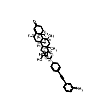 C[C@]12CCC(=O)C=C1[C@@H](F)C[C@H]1[C@@H]3C[C@H]4O[C@@H](C5C=CC(C#Cc6cccc(N)c6)=CC5)O[C@@]4(C(=O)CO)[C@@]3(C)C[C@H](O)[C@@]12F